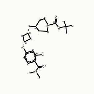 CN(C)C(=O)c1ccc(O[C@H]2C[C@@H](CC3CCN(C(=O)OC(C)(C)C)CC3)C2)cc1Cl